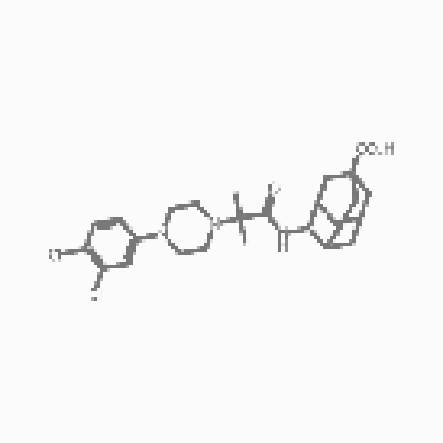 CC(C)(C(=O)NC1C2CC3CC1CC(C(=O)O)(C3)C2)N1CCN(c2ccc(Cl)c(Cl)c2)CC1